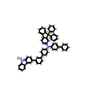 CCn1c2ccccc2c2cc(-c3cccc(-c4ccc(N(c5ccc(-c6ccccc6)cc5)c5ccc6c(c5)C(c5ccccc5)(c5ccccc5)c5ccccc5-6)cc4)c3)ccc21